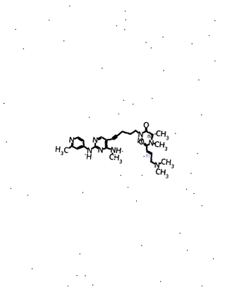 CNc1nc(Nc2ccnc(C)c2)ncc1C#CCCCNC(=O)[C@H](C)N(C)C(=O)/C=C/CN(C)C